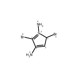 NC1=CC(Br)[Si](N)=C1Br